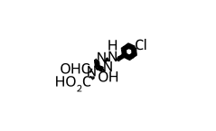 O=CN(CC(=O)O)c1cnc(NCc2ccc(Cl)cc2)nc1O